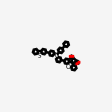 c1ccc(-c2ccc(N(c3ccc(-c4ccc5c(c4)sc4ccccc45)cc3)c3cccc(-c4ccc5c(c4)Oc4ccccc4C54c5ccccc5-c5ccccc54)c3)cc2)cc1